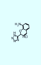 Cl.Nc1cccc2c1OC(c1nnn[nH]1)C=C2